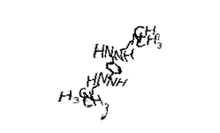 CN(C)CCCNC(=N)c1ccc(C(=N)NCCCN(C)C)cc1